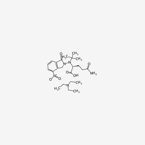 CC(C)(C)N([C@@H](CCC(N)=O)C(=O)O)N1Cc2c(cccc2[N+](=O)[O-])C1=O.CCN(CC)CC